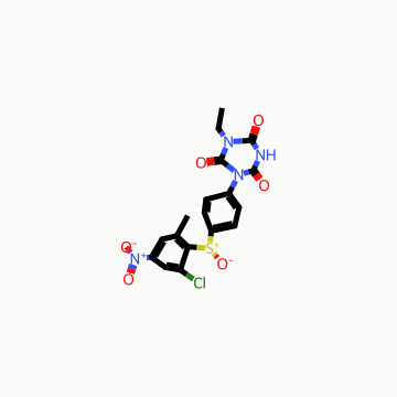 CCn1c(=O)[nH]c(=O)n(-c2ccc([S+]([O-])c3c(C)cc([N+](=O)[O-])cc3Cl)cc2)c1=O